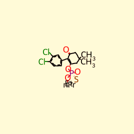 CCCSP(=O)(OCC)OC1=C(c2ccc(Cl)c(Cl)c2)C(=O)CC(C)(C)C1